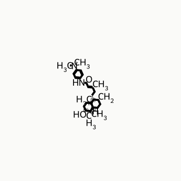 C=C1CC[C@@H]2C(C)(C)[C@H](O)CC[C@@]2(C)[C@@H]1CCC(C)=CC(=O)Nc1ccc(N(C)C)cc1